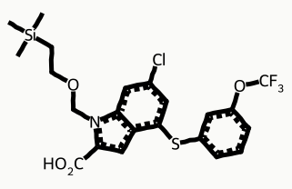 C[Si](C)(C)CCOCn1c(C(=O)O)cc2c(Sc3cccc(OC(F)(F)F)c3)cc(Cl)cc21